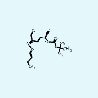 CCCCO/N=C(/CCl)CC[C@@H](C#N)NC(=O)OC(C)(C)C